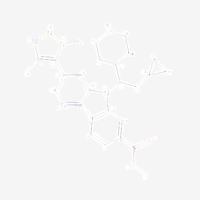 COC(=O)c1ccc2c3ncc(-c4c(C)nnn4C)cc3n(C(CC3CC3)C3CCOCC3)c2c1